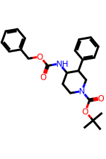 CC(C)(C)OC(=O)N1CCC(NC(=O)OCc2ccccc2)C(c2ccccc2)C1